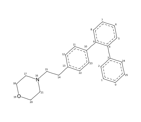 c1ccc(-c2ccccc2-c2ccc(CCN3CCOCC3)cc2)cc1